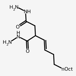 CCCCCCCCCC/C=C/C(CC(=O)NN)C(=O)NN